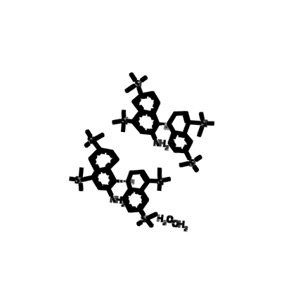 C[Si](C)(C)C1=CC[C@@H](c2c(N)cc([Si](C)(C)C)c3cc([Si](C)(C)C)ccc23)c2ccc([Si](C)(C)C)cc21.C[Si](C)(C)C1=CC[C@@H](c2c(N)cc([Si](C)(C)C)c3cc([Si](C)(C)C)ccc23)c2ccc([Si](C)(C)C)cc21.O.O